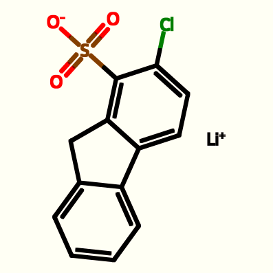 O=S(=O)([O-])c1c(Cl)ccc2c1Cc1ccccc1-2.[Li+]